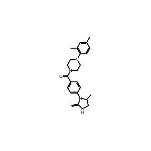 C=C1NCC(C)N1c1ccc(C(=O)N2CCN(c3ccc(C)cc3C)CC2)cc1